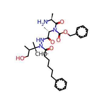 CC(CO)[C@@](C)([C]=O)N(NC(=O)[C@H](C)N(C(=O)OCc1ccccc1)C(=O)[C@H](C)N)C(=O)CCCCCc1ccccc1